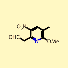 COc1nc(CC=O)c([N+](=O)[O-])cc1C